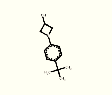 CC(C)(C)c1ccc(N2CC(O)C2)cc1